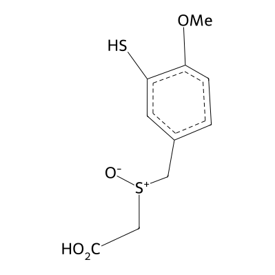 COc1ccc(C[S+]([O-])CC(=O)O)cc1S